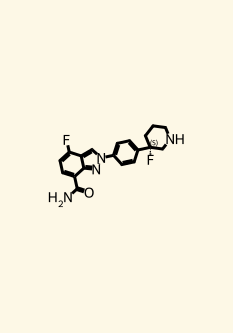 NC(=O)c1ccc(F)c2cn(-c3ccc([C@@]4(F)CCCNC4)cc3)nc12